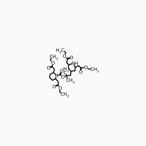 CCOC(=O)CC1CC(CC(C)(C)OC(=O)N2C(CC(=O)OCC)CCCC2CC(=O)OCC)CC(CC(=O)OCC)N1